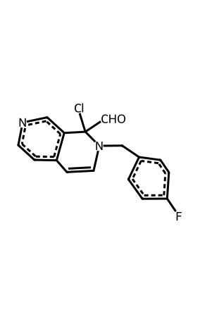 O=CC1(Cl)c2cnccc2C=CN1Cc1ccc(F)cc1